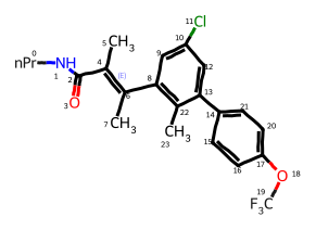 CCCNC(=O)/C(C)=C(\C)c1cc(Cl)cc(-c2ccc(OC(F)(F)F)cc2)c1C